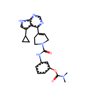 CN(C)C(=O)Oc1cccc(NC(=O)N2CC=C(c3ncnc4[nH]cc(C5CC5)c34)CC2)c1